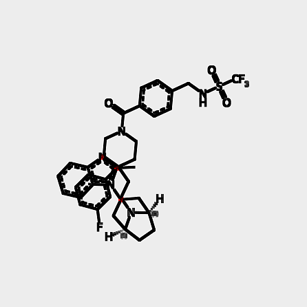 Cc1nc2ccccc2n1C1C[C@H]2CC[C@@H](C1)N2CCC1(c2cccc(F)c2)CCN(C(=O)c2ccc(CNS(=O)(=O)C(F)(F)F)cc2)CC1